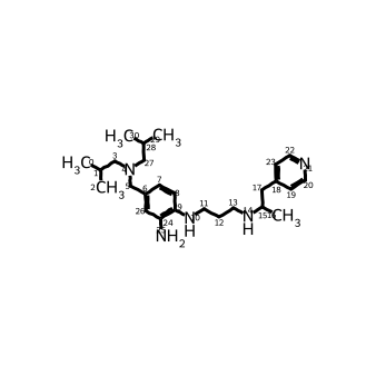 CC(C)CN(Cc1ccc(NCCCNC(C)Cc2ccncc2)c(N)c1)CC(C)C